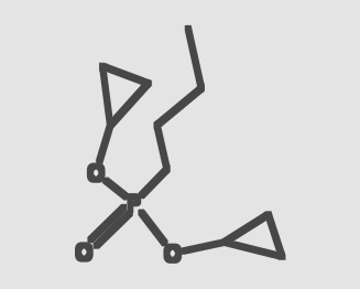 CCCCP(=O)(OC1CC1)OC1CC1